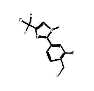 Cn1cc(C(F)(F)F)nc1-c1ccc(CBr)c(F)c1